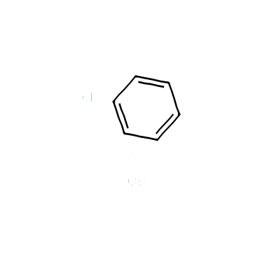 [Cl-].[Cl-].[Os+2].c1ccccc1